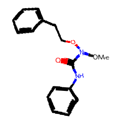 CON(OCCc1ccccc1)C(=O)Nc1ccccc1